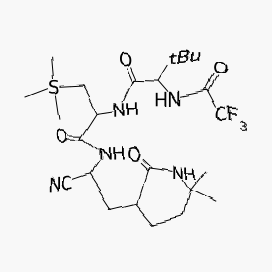 CC1(C)CCC(CC(C#N)NC(=O)C(CS(C)(C)C)NC(=O)C(NC(=O)C(F)(F)F)C(C)(C)C)C(=O)N1